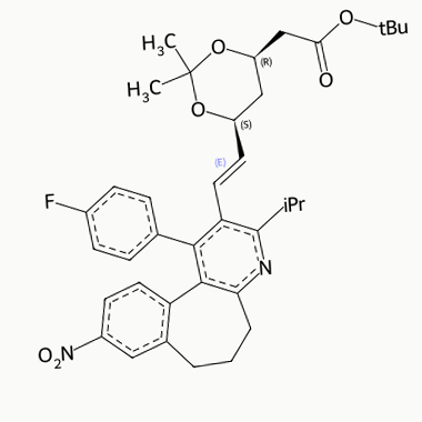 CC(C)c1nc2c(c(-c3ccc(F)cc3)c1/C=C/[C@@H]1C[C@H](CC(=O)OC(C)(C)C)OC(C)(C)O1)-c1ccc([N+](=O)[O-])cc1CCC2